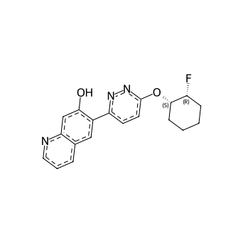 Oc1cc2ncccc2cc1-c1ccc(O[C@H]2CCCC[C@H]2F)nn1